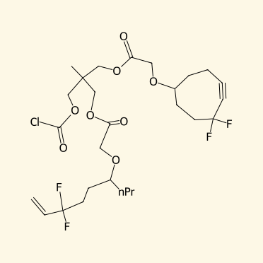 C=CC(F)(F)CCC(CCC)OCC(=O)OCC(C)(COC(=O)Cl)COC(=O)COC1CCC#CC(F)(F)CC1